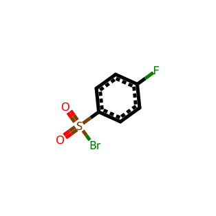 O=S(=O)(Br)c1ccc(F)cc1